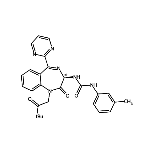 Cc1cccc(NC(=O)N[C@@H]2N=C(c3ncccn3)c3ccccc3N(CC(=O)C(C)(C)C)C2=O)c1